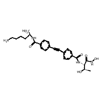 C[C@@H](O)[C@H](NC(=O)c1ccc(C#Cc2ccc(C(=O)N[C@@H](CCCCN)C(=O)O)cc2)cc1)C(=O)NO